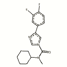 CN(C(=O)n1cnc(-c2ccc(F)c(F)c2)c1)C1CCCCC1